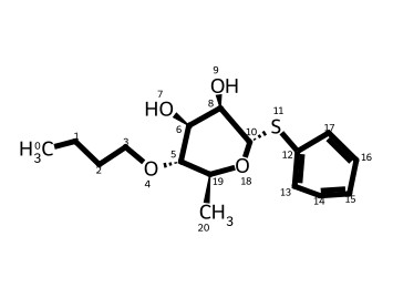 CCCCO[C@@H]1[C@@H](O)[C@@H](O)[C@H](Sc2ccccc2)O[C@H]1C